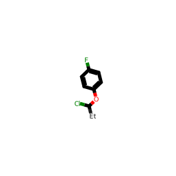 [CH2]CC(Cl)Oc1ccc(F)cc1